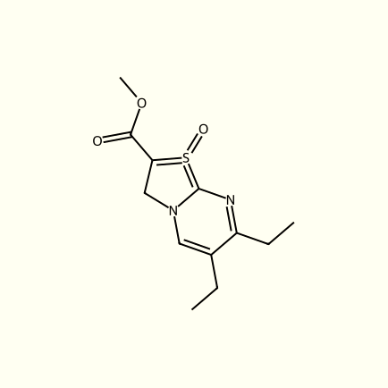 CCC1=CN2CC(C(=O)OC)=S(=O)=C2N=C1CC